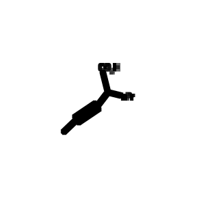 CC#CC(CCC)C(=O)O